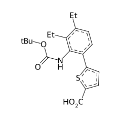 CCc1ccc(-c2ccc(C(=O)O)s2)c(NC(=O)OC(C)(C)C)c1CC